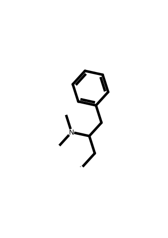 [CH2]CC(Cc1ccccc1)N(C)C